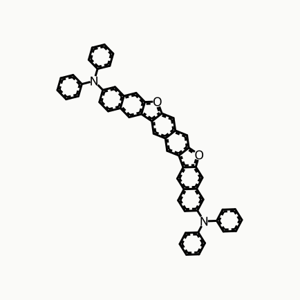 c1ccc(N(c2ccccc2)c2ccc3cc4c(cc3c2)oc2cc3cc5oc6cc7cc(N(c8ccccc8)c8ccccc8)ccc7cc6c5cc3cc24)cc1